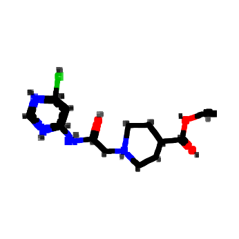 CC(C)(C)OC(=O)C1CCN(CC(=O)Nc2cc(Cl)ncn2)CC1